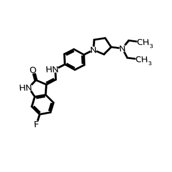 CCN(CC)C1CCN(c2ccc(N/C=C3\C(=O)Nc4cc(F)ccc43)cc2)C1